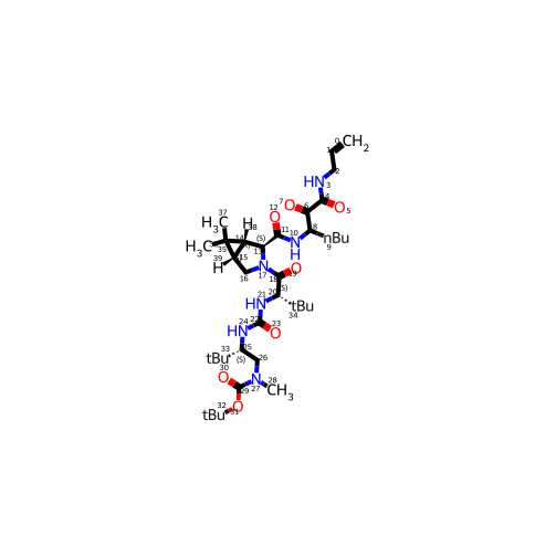 C=CCNC(=O)C(=O)C(CCCC)NC(=O)[C@@H]1[C@@H]2[C@H](CN1C(=O)[C@@H](NC(=O)N[C@H](CN(C)C(=O)OC(C)(C)C)C(C)(C)C)C(C)(C)C)C2(C)C